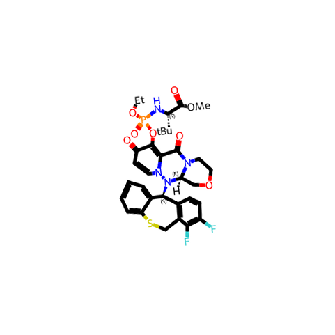 CCOP(=O)(N[C@H](C(=O)OC)C(C)(C)C)Oc1c2n(ccc1=O)N([C@@H]1c3ccccc3SCc3c1ccc(F)c3F)[C@@H]1COCCN1C2=O